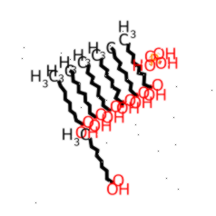 CCCCCCCCCC(=O)O.CCCCCCCCCC(=O)O.CCCCCCCCCC(=O)O.CCCCCCCCCC(=O)O.CCCCCCCCCC(=O)O.CCCCCCCCCC(=O)O.CCCCCCCCCC(=O)O.O=P(O)(O)O